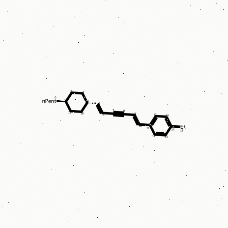 CCCCC[C@H]1CC[C@H](C=CC#CC=Cc2ccc(CC)cc2)CC1